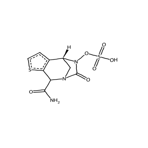 NC(=O)C1c2sccc2[C@H]2CN1C(=O)N2OS(=O)(=O)O